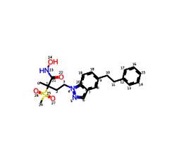 CC(CCn1ncc2cc(CCc3ccccc3)ccc21)(C(=O)NO)S(C)(=O)=O